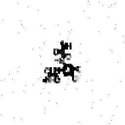 CNC(=O)C(=O)Nc1cc(Cl)c(Cl)cc1NC(=O)C(=O)NC